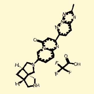 Cc1nc2ccc(-c3cc(=O)n4cc(N5C[C@@H]6C[C@H]7CNC[C@]76C5)ccc4n3)nn2n1.O=C(O)C(F)(F)F